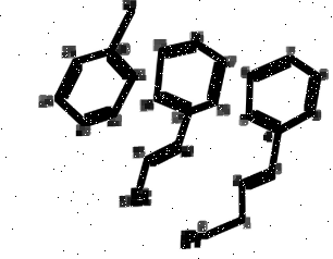 CC(C)CC=Cc1ccccc1.CCC=Cc1ccccc1.Cc1ccccc1